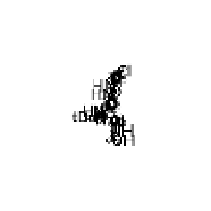 C[C@@H](O)CNc1cc(-c2nc(C(C)(C)C)[nH]c2-c2cccc(NC(=O)Nc3ccc(Cl)cc3)c2)ccn1